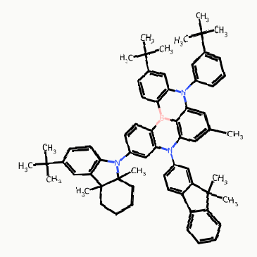 Cc1cc2c3c(c1)N(c1cccc(C(C)(C)C)c1)c1cc(C(C)(C)C)ccc1B3c1ccc(N3c4ccc(C(C)(C)C)cc4C4(C)CCCCC34C)cc1N2c1ccc2c(c1)C(C)(C)c1ccccc1-2